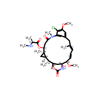 CN[C@@H](C)C(=O)O[C@H]1CC(=O)N(C)c2cc(cc(OC)c2Cl)C/C(C)=C/C=C/[C@@H](OC)[C@@]2(O)C[C@H](OC(=O)N2)[C@H](C)[C@H]2C[C@@]12C